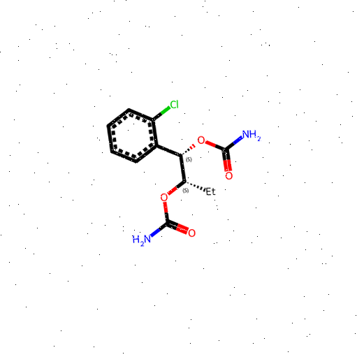 CC[C@H](OC(N)=O)[C@@H](OC(N)=O)c1ccccc1Cl